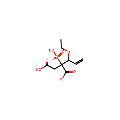 C=CC(OCC)C(CC(=O)O)(C(=O)O)S(=O)(=O)O